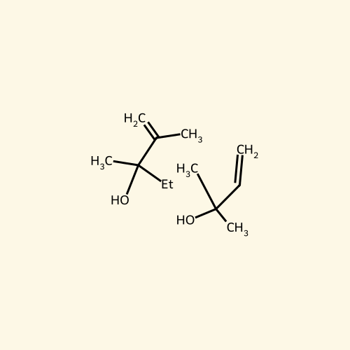 C=C(C)C(C)(O)CC.C=CC(C)(C)O